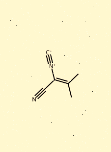 [C-]#[N+]C(C#N)=C(C)C